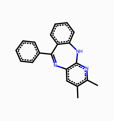 Cc1cc2c(nc1C)Nc1ccccc1C(c1ccccc1)=N2